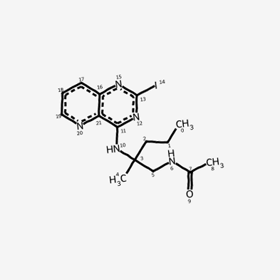 CCCC(C)(CNC(C)=O)Nc1nc(I)nc2cccnc12